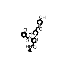 O=C(Nc1cc(C(=O)NC2CC2)cnc1N1CCC(CC(=O)N2CCC(O)CC2)CC1)c1cccc(Cl)c1